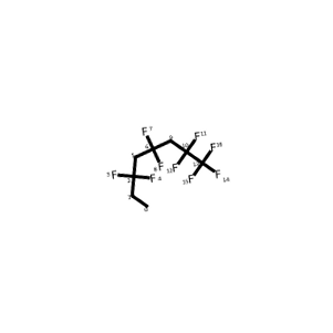 CCC(F)(F)CC(F)(F)CC(F)(F)C(F)(F)F